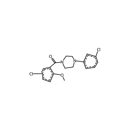 COc1ccc(Cl)cc1C(=O)N1CCN(c2cccc(Cl)c2)CC1